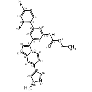 CCOC(=O)Nc1cc(-c2cnc3cc(-c4cnn(C)c4)ccn23)cc(-c2ccc(F)cc2F)n1